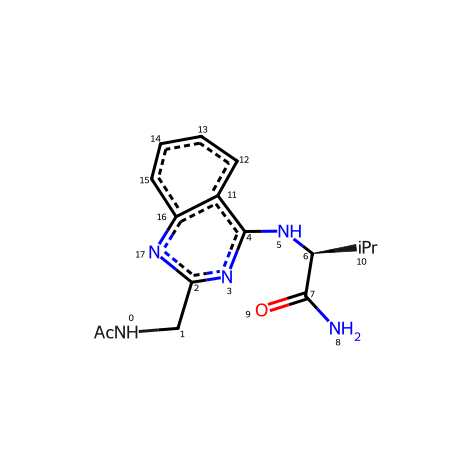 CC(=O)NCc1nc(N[C@H](C(N)=O)C(C)C)c2ccccc2n1